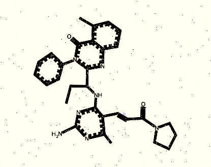 CCC(Nc1nc(N)nc(C)c1/C=C/C(=O)N1CCCC1)c1nc2cccc(C)c2c(=O)n1-c1ccccc1